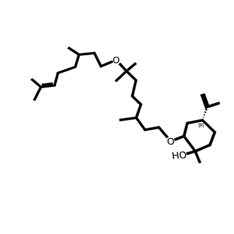 C=C(C)[C@@H]1CCC(C)(O)C(OCCC(C)CCCC(C)(C)OCCC(C)CCC=C(C)C)C1